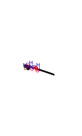 CCCCCCCCCCCCCCCCCCNC(=O)OCC(COC(=O)NCCN(C(=O)c1cncc(Br)c1)c1ccccc1)OC